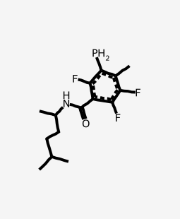 Cc1c(F)c(F)c(C(=O)NC(C)CCC(C)C)c(F)c1P